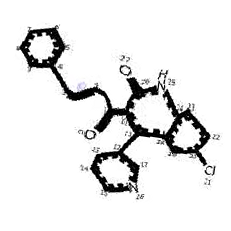 O=C(/C=C/c1ccccc1)c1c(-c2cccnc2)c2cc(Cl)ccc2[nH]c1=O